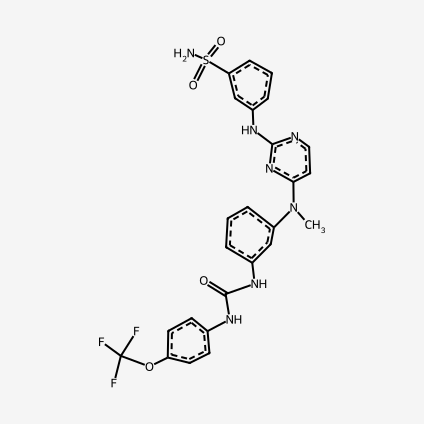 CN(c1cccc(NC(=O)Nc2ccc(OC(F)(F)F)cc2)c1)c1ccnc(Nc2cccc(S(N)(=O)=O)c2)n1